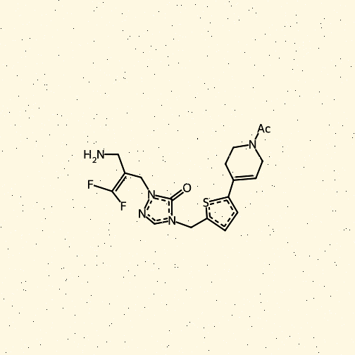 CC(=O)N1CC=C(c2ccc(Cn3cnn(CC(CN)=C(F)F)c3=O)s2)CC1